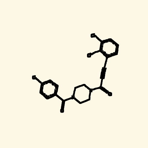 O=C(C#Cc1cccc(Cl)c1Cl)N1CCN(C(=O)c2ccc(Cl)cc2)CC1